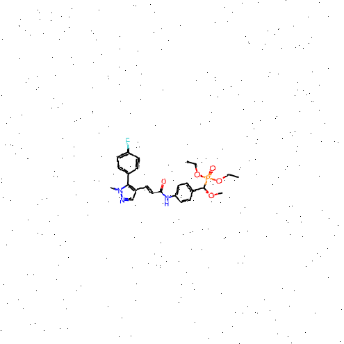 CCOP(=O)(OCC)C(OC)c1ccc(NC(=O)C=Cc2cnn(C)c2-c2ccc(F)cc2)cc1